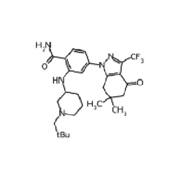 CC(C)(C)CN1CCCC(Nc2cc(-n3nc(C(F)(F)F)c4c3CC(C)(C)CC4=O)ccc2C(N)=O)C1